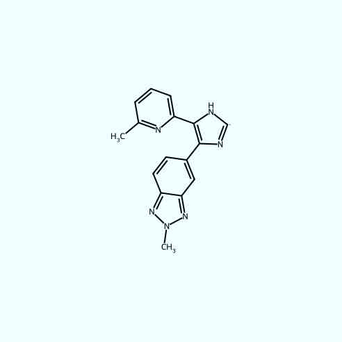 Cc1cccc(-c2[nH][c]nc2-c2ccc3nn(C)nc3c2)n1